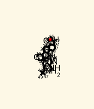 CNC(=O)c1ncnn1[C@@H]1C[C@@]23COC[C@](C)([C@@H]2CC[C@H]2C3=CC[C@@]3(C)[C@H](C(=O)O)[C@@](C)([C@H](C)C(C)C)CC[C@]23C)[C@H]1OC[C@H](N)C(C)(C)C